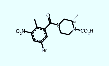 Cc1c(C(=O)N2CCN(C(=O)O)[C@@H](C)C2)cc(Br)cc1[N+](=O)[O-]